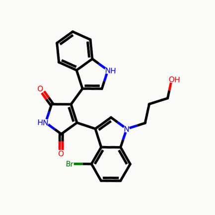 O=C1NC(=O)C(c2cn(CCCO)c3cccc(Br)c23)=C1c1c[nH]c2ccccc12